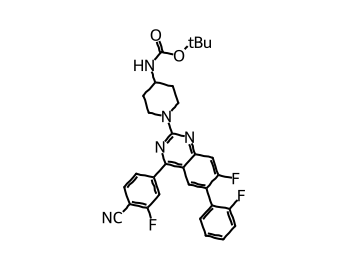 CC(C)(C)OC(=O)NC1CCN(c2nc(-c3ccc(C#N)c(F)c3)c3cc(-c4ccccc4F)c(F)cc3n2)CC1